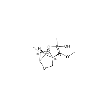 COC[C@]12COC([C@H](C)O1)[C@@H]2OP(C)(=O)O